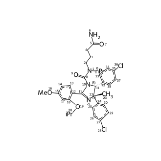 CCCN(CCCC(N)=O)C(=O)N1C(c2ccc(OC)cc2OC(C)C)=N[C@@](C)(c2ccc(Cl)cc2)[C@H]1c1ccc(Cl)cc1